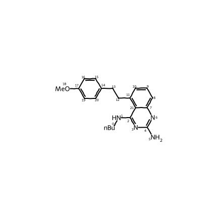 CCCCNc1nc(N)nc2cccc(CCc3ccc(OC)cc3)c12